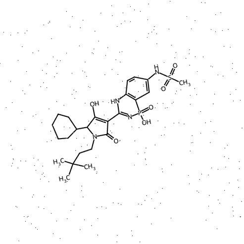 CC(C)(C)CCN1C(=O)C(C2=NP(=O)(O)c3cc(NS(C)(=O)=O)ccc3N2)=C(O)C1C1CCCCC1